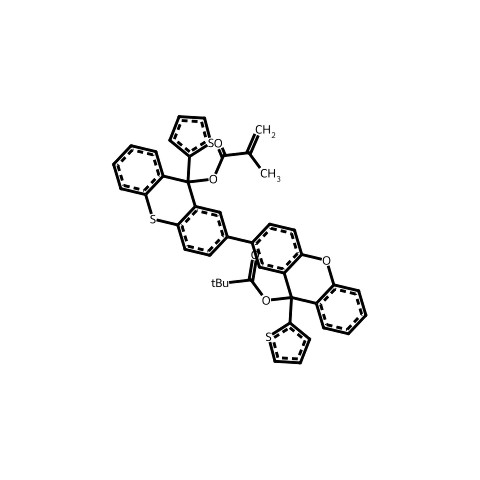 C=C(C)C(=O)OC1(c2cccs2)c2ccccc2Sc2ccc(-c3ccc4c(c3)C(OC(=O)C(C)(C)C)(c3cccs3)c3ccccc3O4)cc21